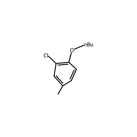 CCCCOc1ccc(C)cc1Cl